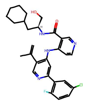 C=C(C)c1cnc(-c2cc(Cl)ccc2F)cc1Nc1ccncc1C(=O)N[C@H](CO)CC1CCCCC1